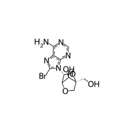 Nc1ncnc2c1nc(Br)n2[C@@H]1O[C@@]2(CO)COC1[C@H]2O